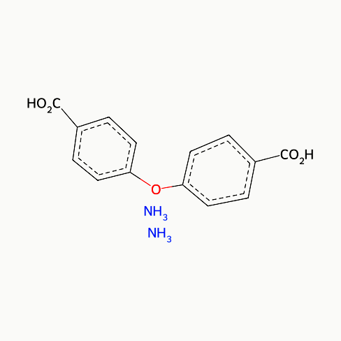 N.N.O=C(O)c1ccc(Oc2ccc(C(=O)O)cc2)cc1